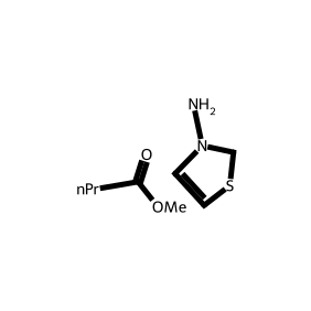 CCCC(=O)OC.NN1C=CSC1